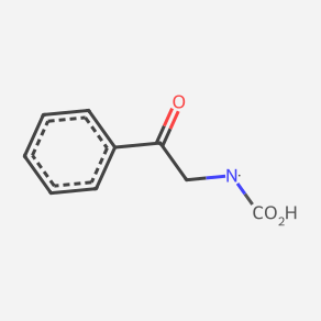 O=C(O)[N]CC(=O)c1ccccc1